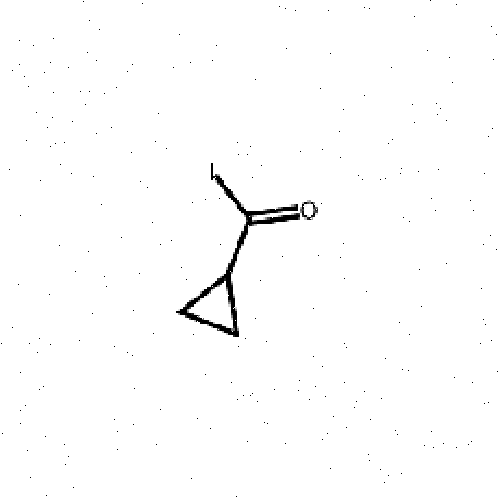 O=C(I)C1CC1